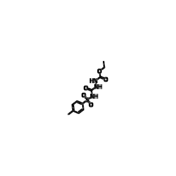 CCOC(=O)NNC(=O)NS(=O)(=O)c1ccc(C)cc1